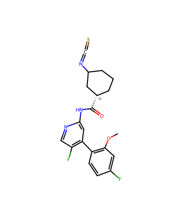 COc1cc(F)ccc1-c1cc(NC(=O)[C@H]2CCCC(N=C=S)C2)ncc1F